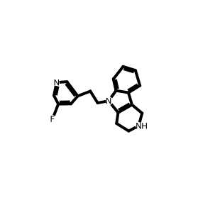 Fc1cncc(CCn2c3c(c4ccccc42)CNCC3)c1